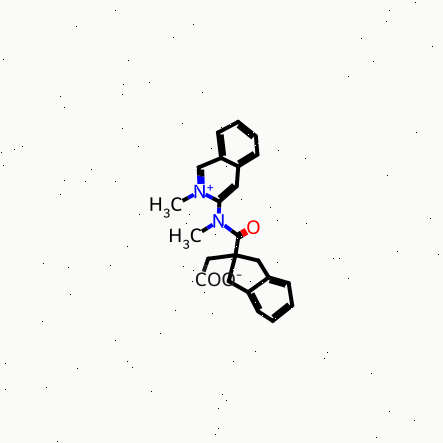 CN(C(=O)C1(CC(=O)[O-])Cc2ccccc2C1)c1cc2ccccc2c[n+]1C